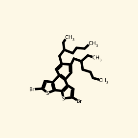 CCCCC(CC)Cc1cc2c(cc1CC(CC)CCCC)c1cc(Br)sc1c1sc(Br)cc21